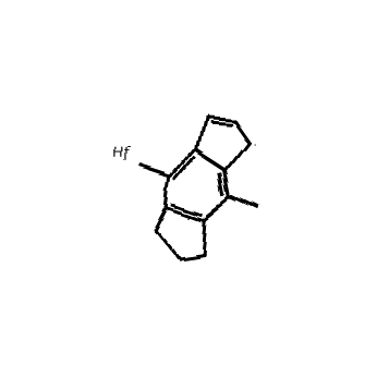 Cc1c2c(c(C)c3c1CCC3)C=C[CH]2.[Hf]